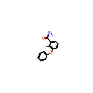 NC(=O)c1cccc(Oc2ccccc2)c1F